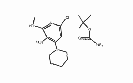 CC(C)(C)OC(N)=O.CNc1nc(Cl)cc(N2CCCCC2)c1N